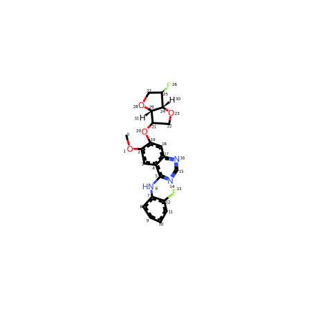 COc1cc2c(Nc3ccccc3F)ncnc2cc1OC1CO[C@H]2[C@H](F)CO[C@@H]12